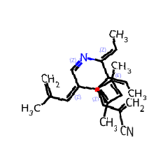 C=C(C)\C=C(/C=N\C(=C/C)C(\C=C/C(=C)C#N)=C\C)C1=C(C)C=C1C